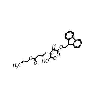 C=CCOC(=O)CCC[C@H](NC(=O)OCC1c2ccccc2-c2ccccc21)C(=O)O